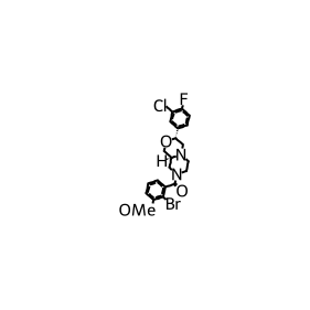 COc1cccc(C(=O)N2CCN3C[C@@H](c4ccc(F)c(Cl)c4)OC[C@@H]3C2)c1Br